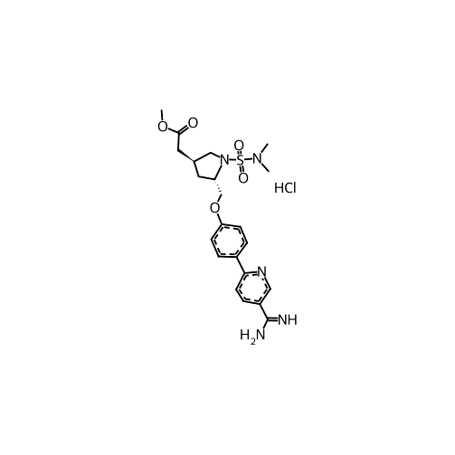 COC(=O)C[C@@H]1C[C@@H](COc2ccc(-c3ccc(C(=N)N)cn3)cc2)N(S(=O)(=O)N(C)C)C1.Cl